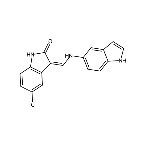 O=C1Nc2ccc(Cl)cc2/C1=C/Nc1ccc2[nH]ccc2c1